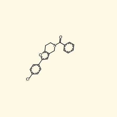 O=C(c1ccccc1)N1CCc2oc(-c3ccc(Cl)cc3)cc2C1